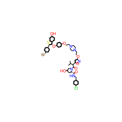 CC(C)C(C(=O)N1C[C@H](O)C[C@H]1C(=O)NCc1ccc(Cl)cc1)c1cc(OCCN2CCN(CCOc3ccc(Oc4c(-c5ccc(Br)cc5)sc5cc(O)ccc45)cc3)CC2)no1